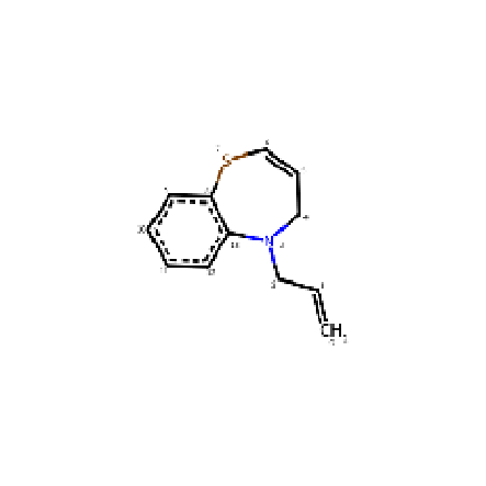 C=CCN1CC=CSc2ccccc21